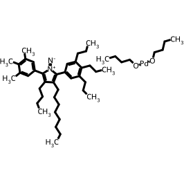 CCCCCCCCC1=C(c2cc(CCC)c(CCC)c(CCC)c2)[N+](=[N-])C(c2cc(C)c(C)c(C)c2)=C1CCCC.CCCC[O][Pd][O]CCCC